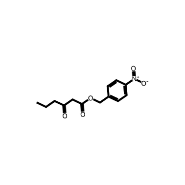 CCCC(=O)CC(=O)OCc1ccc([N+](=O)[O-])cc1